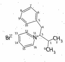 CC(C)C(Cc1ccccc1)[n+]1ccccc1.[Br-]